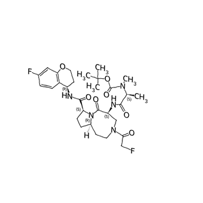 C[C@@H](C(=O)N[C@H]1CN(C(=O)CF)CC[C@H]2CC[C@@H](C(=O)N[C@@H]3CCOc4cc(F)ccc43)N2C1=O)N(C)C(=O)OC(C)(C)C